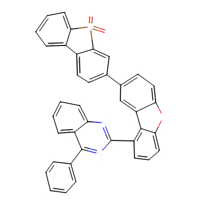 O=S1(=O)c2ccccc2-c2ccc(-c3ccc4oc5cccc(-c6nc(-c7ccccc7)c7ccccc7n6)c5c4c3)cc21